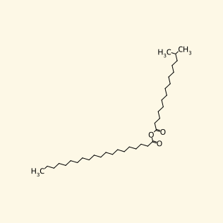 CCCCCCCCCCCCCCCCCCCC(=O)OC(=O)CCCCCCCCCCCCC(C)C